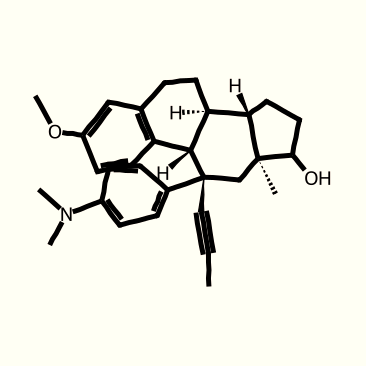 CC#C[C@]1(c2ccc(N(C)C)cc2)C[C@]2(C)C(O)CC[C@H]2[C@@H]2CCc3cc(OC)ccc3[C@H]21